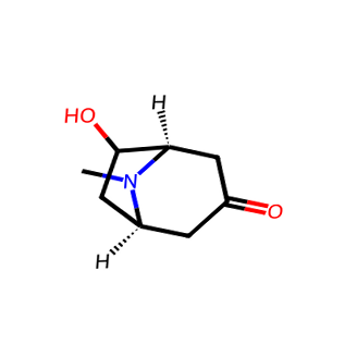 CN1[C@H]2CC(=O)C[C@@H]1C(O)C2